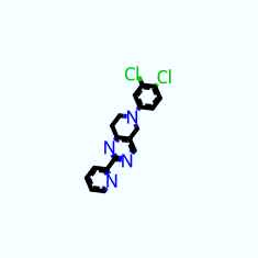 Clc1ccc(N2CCc3nc(-c4ccccn4)ncc3C2)cc1Cl